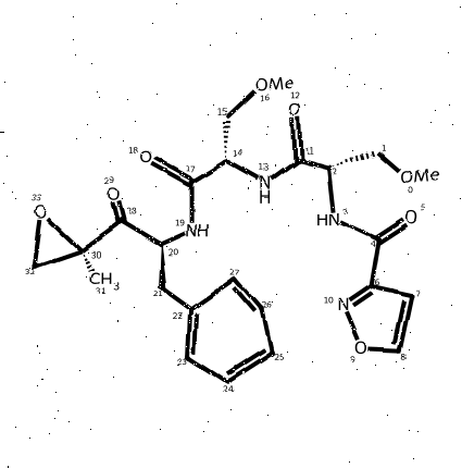 COC[C@H](NC(=O)c1ccon1)C(=O)N[C@@H](COC)C(=O)N[C@@H](Cc1ccccc1)C(=O)[C@@]1(C)CO1